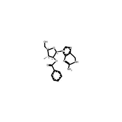 C[C@H]1[C@H](OC(=O)c2ccccc2)[C@H](n2cnc3c2N=C(N)NC3)O[C@@H]1CO